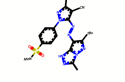 CNS(=O)(=O)c1ccc(-n2nc(C)c(C#N)c2N=Nc2c(C(C)(C)C)nn3c(C)n[nH]c23)cc1